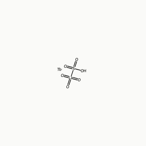 O=[S](=O)(O)[La](=[O])(=[O])=[O].[Tb]